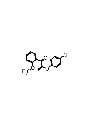 C=C(Oc1ccc(Cl)cc1)C(=O)c1ccccc1OC(F)(F)F